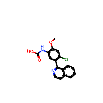 COc1cc(Cl)c(-c2nccc3ccccc23)cc1NC(=O)O